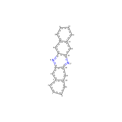 c1ccc2cc3nc4cc5ccccc5cc4nc3cc2c1